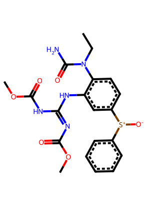 CCN(C(N)=O)c1ccc([S+]([O-])c2ccccc2)cc1NC(=NC(=O)OC)NC(=O)OC